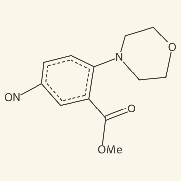 COC(=O)c1cc(N=O)ccc1N1CCOCC1